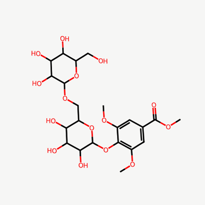 COC(=O)c1cc(OC)c(OC2OC(COC3OC(CO)C(O)C(O)C3O)C(O)C(O)C2O)c(OC)c1